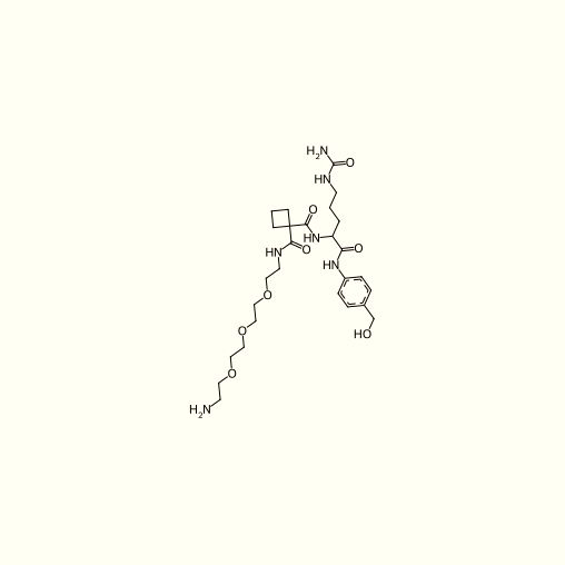 NCCOCCOCCOCCNC(=O)C1(C(=O)NC(CCCNC(N)=O)C(=O)Nc2ccc(CO)cc2)CCC1